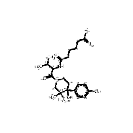 CC(C)C(NC(=O)CCCCC(=O)O)C(=O)N1CCC(O)(c2ccc(Cl)cc2)C(C)(C)C1